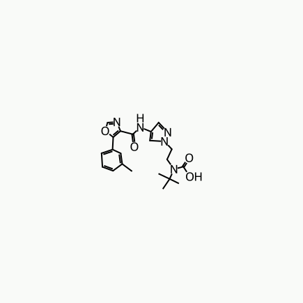 Cc1cccc(-c2ocnc2C(=O)Nc2cnn(CCN(C(=O)O)C(C)(C)C)c2)c1